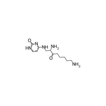 NCCCCCC(=O)C(N)CNc1cc[nH]c(=O)n1